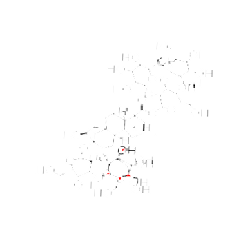 C=C1C[C@@]23CC[C@H]4[C@@](C)(CCC[C@@]4(C)C(=O)OC4O[C@H](CO)[C@@H](O)[C@H](O[C@@H]5O[C@H](CO)[C@@H](O)[C@H](O)[C@H]5O)[C@H]4O[C@@H]4O[C@H](CO)[C@@H](O)[C@H](O)[C@H]4O)[C@@H]2CC[C@]1(O[C@@H]1O[C@H](CO)[C@@H](O)[C@H](O[C@@H]2O[C@H](CO)[C@@H](O)[C@H](O)[C@H]2O)[C@H]1O[C@@H]1O[C@H](CO)[C@@H](O)[C@H](O)[C@H]1O)C3